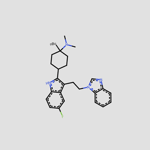 CCCCC1(N(C)C)CCC(c2[nH]c3ccc(F)cc3c2CCn2cnc3ccccc32)CC1